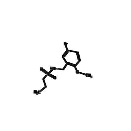 CCCS(=O)(=O)NCc1cc(Br)ccc1OC